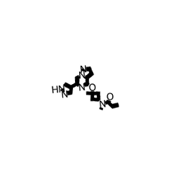 C=CC(=O)N(C)C1CC(C)(Oc2nc(-c3cn[nH]c3)cn3nccc23)C1